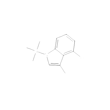 C[Si](C)(C)n1cc(I)c2c(Cl)cccc21